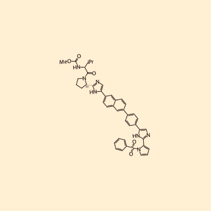 COC(=O)NC(C(=O)N1CCC[C@H]1c1ncc(-c2ccc3cc(-c4ccc(-c5cnc(-c6cccn6S(=O)(=O)c6ccccc6)[nH]5)cc4)ccc3c2)[nH]1)C(C)C